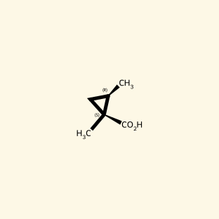 C[C@@H]1C[C@]1(C)C(=O)O